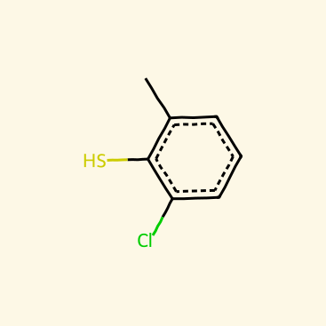 Cc1cccc(Cl)c1S